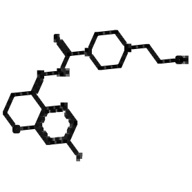 OCCN1CCN(C(=S)N/N=C2/CCOc3cc(F)cnc32)CC1